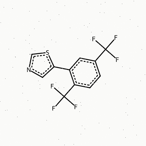 FC(F)(F)c1ccc(C(F)(F)F)c(-c2cn[c]s2)c1